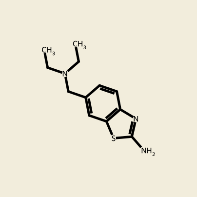 CCN(CC)Cc1ccc2nc(N)sc2c1